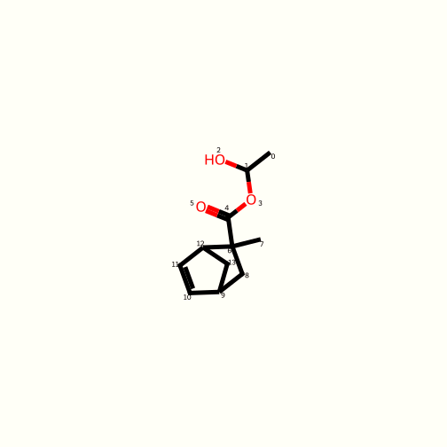 CC(O)OC(=O)C1(C)CC2C=CC1C2